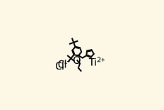 CCCOC1(CC2=[C]([Ti+2])CC=C2)CC=C(C(C)(C)C)C=C1C(C)(C)C.[Cl-].[Cl-]